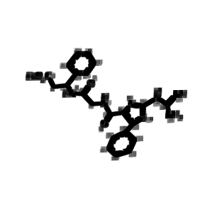 CCOC(=O)CC(NC(=O)CNC(=O)c1nc(NC(=N)N)sc1-c1ccccc1)c1ccccc1